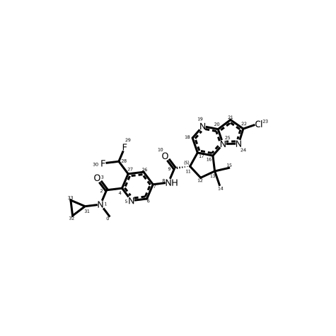 CN(C(=O)c1ncc(NC(=O)[C@H]2CC(C)(C)c3c2cnc2cc(Cl)nn32)cc1C(F)F)C1CC1